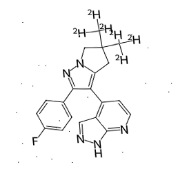 [2H]C([2H])([2H])C1(C([2H])([2H])[2H])Cc2c(-c3ccnc4[nH]ncc34)c(-c3ccc(F)cc3)nn2C1